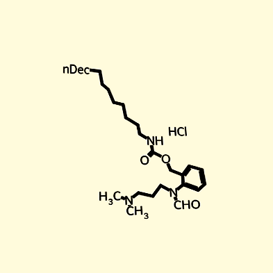 CCCCCCCCCCCCCCCCCCNC(=O)OCc1ccccc1N(C=O)CCCN(C)C.Cl